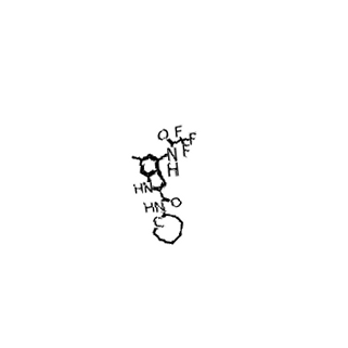 Cc1cc(NC(=O)C(F)(F)F)c2cc(C(=O)NC3CCCCCCC3)[nH]c2c1